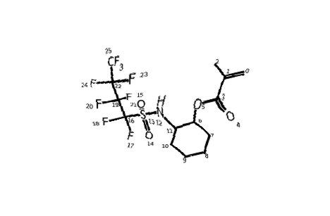 C=C(C)C(=O)OC1CCCCC1NS(=O)(=O)C(F)(F)C(F)(F)C(F)(F)C(F)(F)F